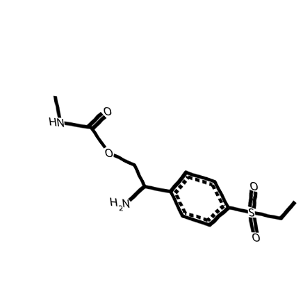 CCS(=O)(=O)c1ccc(C(N)COC(=O)NC)cc1